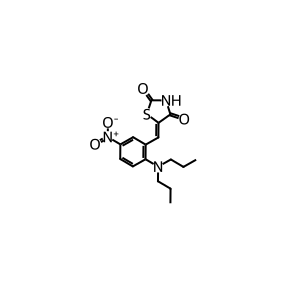 CCCN(CCC)c1ccc([N+](=O)[O-])cc1/C=C1\SC(=O)NC1=O